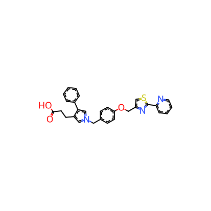 O=C(O)CCc1cn(Cc2ccc(OCc3csc(-c4ccccn4)n3)cc2)cc1-c1ccccc1